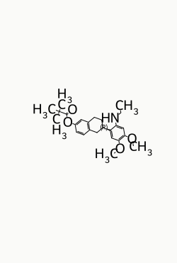 CCNc1cc(OC)c(OC)cc1[C@@H]1CCc2cc(OC(=O)C(C)(C)C)ccc2C1